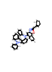 c1ccc(-c2nc3cc(N(c4ccccc4)c4cccc5c4c4ccccc4n5-c4ccccc4)c4ccccc4c3o2)cc1